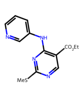 CCOC(=O)c1cnc(SC)nc1Nc1cccnc1